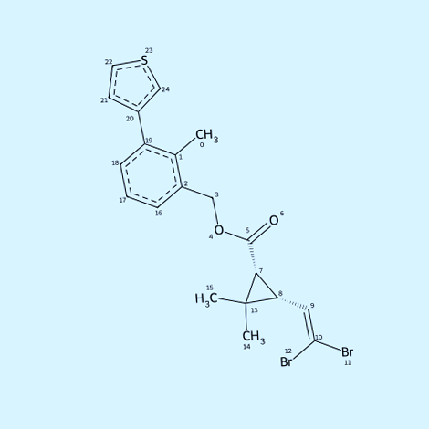 Cc1c(COC(=O)[C@@H]2[C@H](C=C(Br)Br)C2(C)C)cccc1-c1ccsc1